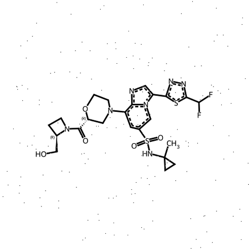 CC1(NS(=O)(=O)c2cc(N3CCO[C@@H](C(=O)N4CC[C@@H]4CO)C3)c3ncc(-c4nnc(C(F)F)s4)n3c2)CC1